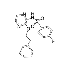 O=S(=O)(Nc1nccnc1OCCc1ccccc1)c1ccc(F)cc1